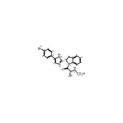 CC(C)[C@H](NC(=O)O)C(=O)N1c2ccccc2C[C@H]1c1ncc(-c2ccc(Br)cc2)[nH]1